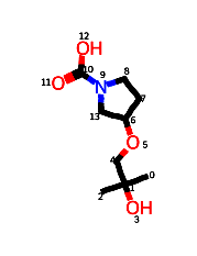 CC(C)(O)COC1CCN(C(=O)O)C1